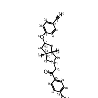 N#Cc1ccc(O[C@H]2C[C@@H]3CN(CC(=O)c4ccc(O)cc4)C[C@@H]3C2)cc1